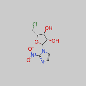 O=[N+]([O-])c1nccn1[C@@H]1O[C@H](CCl)[C@@H](O)[C@H]1O